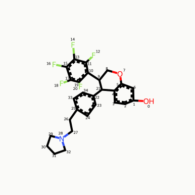 Oc1ccc2c(c1)OCC(c1c(F)c(F)c(F)c(F)c1F)C2c1ccc(CCN2CCCC2)cc1